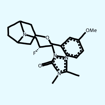 COc1cccc(COC2CC3CCC(C2)N3C[C@@H](F)Cn2nc(C)n(C)c2=O)c1